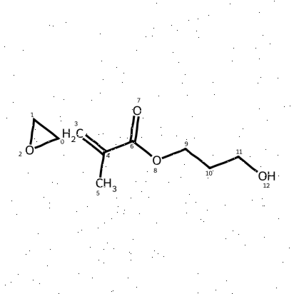 C1CO1.C=C(C)C(=O)OCCCO